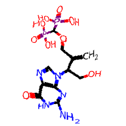 C=C(COC(P(=O)(O)O)P(=O)(O)O)C(CO)n1cnc2c(=O)[nH]c(N)nc21